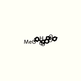 COc1cccc(C(=O)CC2=C3CCC4(Oc5ccccc5O4)[C@@]3(C)CCC2=O)c1